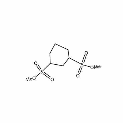 COS(=O)(=O)C1CCCC(S(=O)(=O)OC)C1